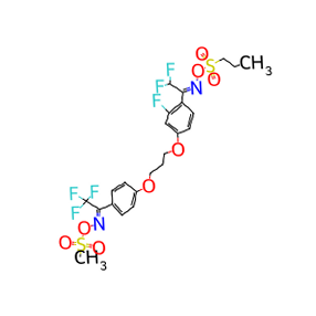 CCCS(=O)(=O)O/N=C(/c1ccc(OCCCOc2ccc(/C(=N/OS(C)(=O)=O)C(F)(F)F)cc2)cc1F)C(F)F